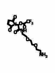 NCCOCCOCCNC(=O)C(OC(=O)C(F)(F)F)N1C(=O)C=CC1=O